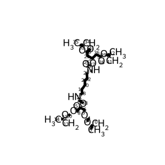 C=C(C)OCOCC1(COCOC(=C)C)OC(NCCCCCCNC(=O)OC(CC(=O)OC(=C)C)CC(=O)OC(=C)C)O1